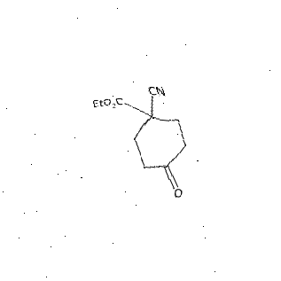 CCOC(=O)C1(C#N)CCC(=O)CC1